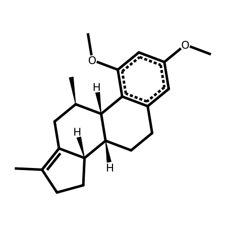 COc1cc2c(c(OC)c1)[C@@H]1[C@H](CC2)[C@@H]2CCC(C)=C2C[C@H]1C